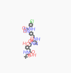 CC(C)CC(NC(=O)Cc1ccc(N/C(=C\[N+](=O)[O-])Nc2ccc(Cl)cc2)cc1)C(=O)NC(Cc1ccccc1CC(NC(=O)CC(C)(C)C)C(=O)O)C(=O)O